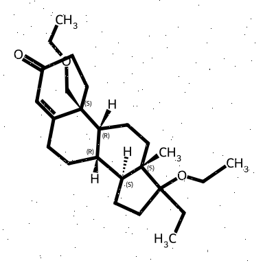 CCOC[C@]12CCC(=O)C=C1CC[C@@H]1[C@H]2CC[C@@]2(C)[C@H]1CCC2(CC)OCC